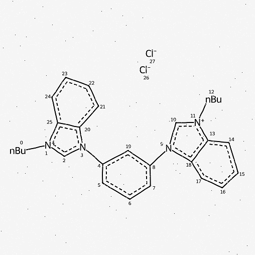 CCCC[n+]1cn(-c2cccc(-n3c[n+](CCCC)c4ccccc43)c2)c2ccccc21.[Cl-].[Cl-]